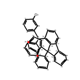 Clc1cccc(N(c2ccccc2)c2cccc3c2C(c2ccccc2)(c2ccccc2)c2ccccc2-3)c1